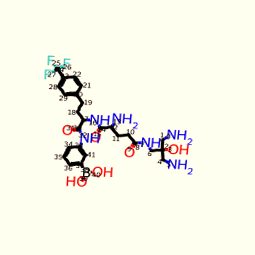 NCC(O)(CN)CNC(=O)CCC(N)C(=O)NC(CCc1ccc(C(F)(F)F)cc1)C(=O)Nc1cccc(B(O)O)c1